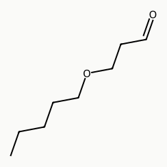 CCCCCOCCC=O